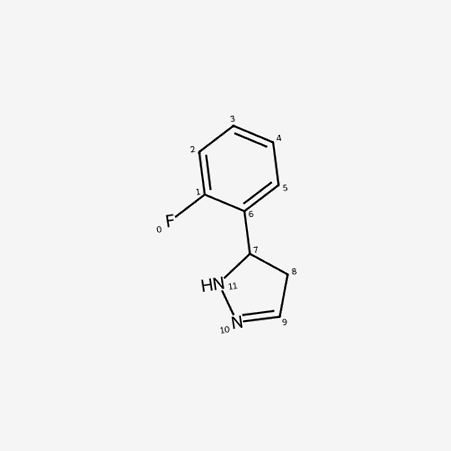 Fc1ccccc1C1CC=NN1